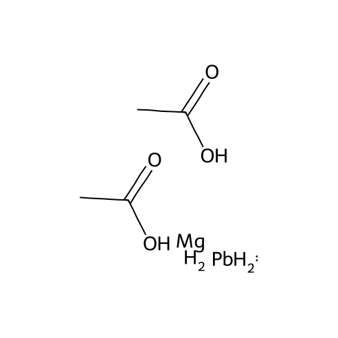 CC(=O)O.CC(=O)O.[MgH2].[PbH2]